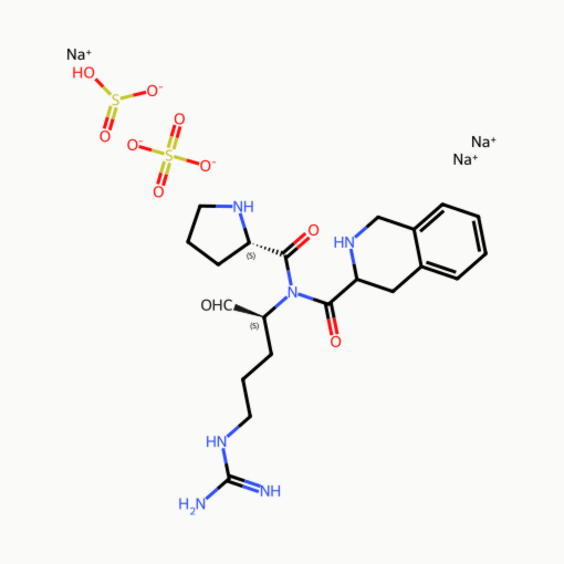 N=C(N)NCCC[C@@H](C=O)N(C(=O)C1Cc2ccccc2CN1)C(=O)[C@@H]1CCCN1.O=S(=O)([O-])[O-].O=S([O-])O.[Na+].[Na+].[Na+]